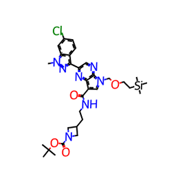 Cn1nc(-c2cnc3c(n2)c(C(=O)NCCC2CN(C(=O)OC(C)(C)C)C2)cn3COCC[Si](C)(C)C)c2ccc(Cl)cc21